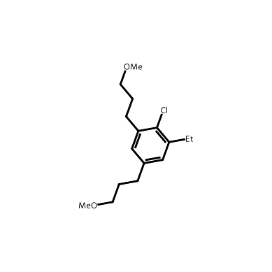 CCc1cc(CCCOC)cc(CCCOC)c1Cl